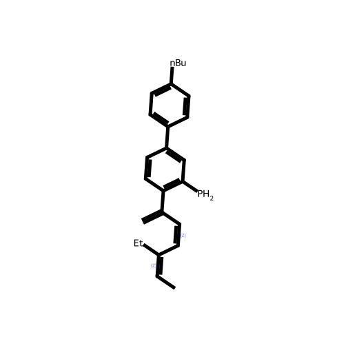 C=C(/C=C\C(=C/C)CC)c1ccc(-c2ccc(CCCC)cc2)cc1P